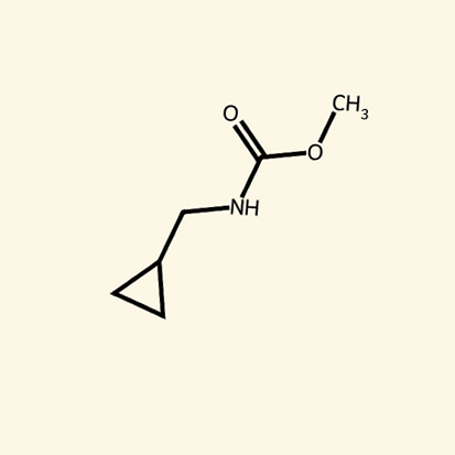 COC(=O)NCC1CC1